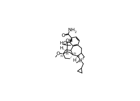 CO[C@]12CC[C@]3(C[C@@H]1C(C)(C)O)C(C2)c1c(ccc(C(N)=O)c1O)CC1C[N@+](C)(CC2CC2)[C@H]13